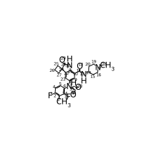 Cc1c(F)ccc(N(c2cc(C(=O)NC3CCN(C)CC3)c3c(c2)C2(CCC2)C(=O)N3)[SH](=O)=O)c1F